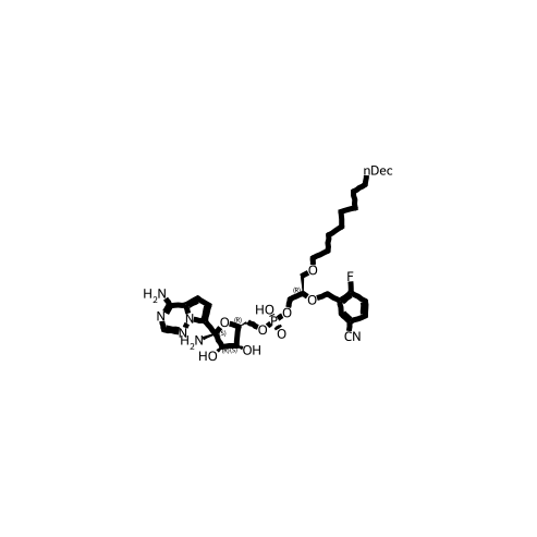 CCCCCCCCCCCCCCCCCCOC[C@H](COP(=O)(O)OC[C@H]1O[C@@](N)(c2ccc3c(N)ncnn23)[C@H](O)[C@@H]1O)OCc1cc(C#N)ccc1F